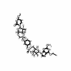 CCOc1nc(N)nc2c1ncn2[C@@H]1O[C@@H]2COP(=O)(Oc3cccc(OP4(=O)CO[C@H]5O[C@@H](n6ccc(OC)nc6=O)[C@](C)(F)[C@@H]5O4)c3)O[C@H]2[C@@]1(C)F